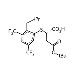 CC(C)Cc1c(S[C@@H](CC(=O)OC(C)(C)C)C(=O)O)cc(C(F)(F)F)cc1C(F)(F)F